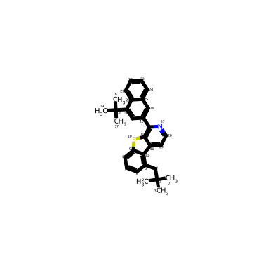 CC(C)(C)Cc1cccc2sc3c(-c4cc(C(C)(C)C)c5ccccc5c4)nccc3c12